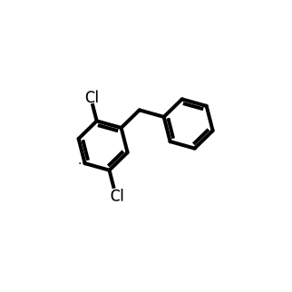 Clc1[c]cc(Cl)c(Cc2ccccc2)c1